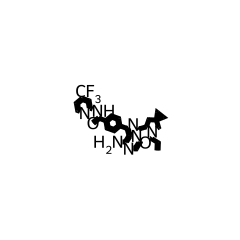 C=CC(=O)N1CC2(CC2)CC1c1nc(-c2ccc(C(=O)Nc3cc(C(F)(F)F)ccn3)cc2)c2c(N)nccn12